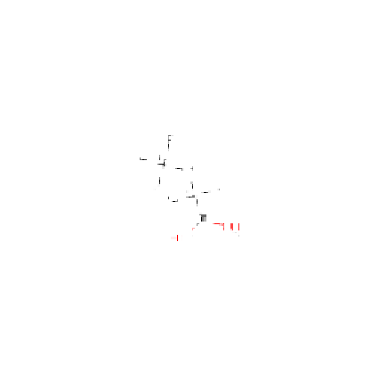 CCC(C)(C)CC(C)(C)C(O)O